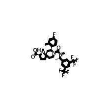 Cc1cc(F)ccc1[C@H]1C[C@]2(CC[C@@H](C(=O)O)N2C)CCN1C(=O)N(C)[C@@H](C)c1cc(C(F)(F)F)cc(C(F)(F)F)c1